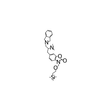 CN(C)C(Cc1ccc2c(c1)oc(=O)n2COCC[Si](C)(C)C)CN1Cc2ccccc2C1